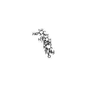 C[C@]12C=CC(=O)NC1CC[C@@H]1[C@H]2CC[C@]2(C)C(C(=O)Nc3cccc(O)c3)CC[C@@H]12